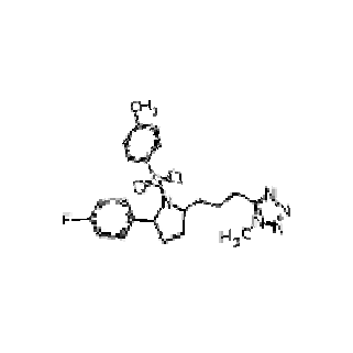 Cc1ccc(S(=O)(=O)N2C(CCCc3nnnn3C)CCC2c2ccc(F)cc2)cc1